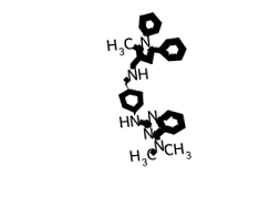 Cc1c(CNC[C@H]2CC[C@@H](Nc3nc(N(C)C)c4ccccc4n3)CC2)cc(-c2ccccc2)n1-c1ccccc1